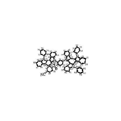 N#Cc1ccc(S(=O)(=O)c2ccc(-n3c4ccccc4c4c5c(c6ccccc6n5-c5ccccc5)c5c(c6ccccc6n5-c5ccccc5)c43)cc2-n2c3ccccc3c3c2ccc2c4ccccc4n(-c4ccccc4)c23)cc1